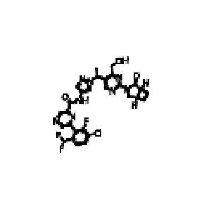 CC(c1cnc(N2C[C@H]3C=C[C@H]3C2=O)nc1CO)n1cc(NC(=O)c2cncc(-c3c(C(F)F)ccc(Cl)c3F)n2)cn1